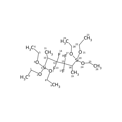 CCO[Si](OCC)(OCC)C(C)C(F)(F)C(F)(F)C(C)[Si](OCC)(OCC)OCC